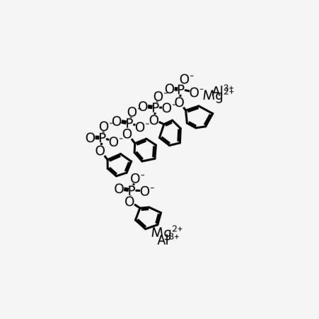 O=P([O-])([O-])Oc1ccccc1.O=P([O-])([O-])Oc1ccccc1.O=P([O-])([O-])Oc1ccccc1.O=P([O-])([O-])Oc1ccccc1.O=P([O-])([O-])Oc1ccccc1.[Al+3].[Al+3].[Mg+2].[Mg+2]